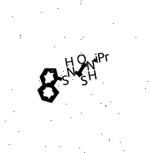 CC(C)NC(=O)C(=S)NSc1cccc2ccccc12